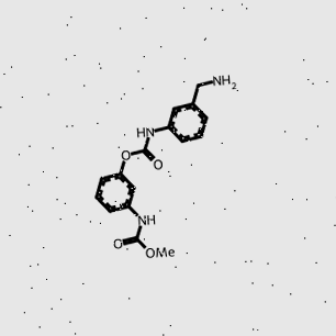 COC(=O)Nc1cccc(OC(=O)Nc2cccc(CN)c2)c1